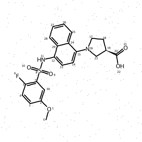 COc1ccc(F)c(S(=O)(=O)Nc2ccc(N3CC[C@@H](C(=O)O)C3)c3ccccc23)c1